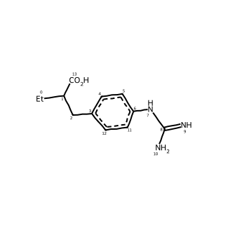 CCC(Cc1ccc(NC(=N)N)cc1)C(=O)O